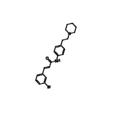 O=C(C=Cc1cccc(Br)c1)Nc1ccc(CCN2CCCCC2)cc1